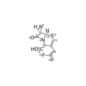 NC1C(=O)N2C(C(=O)O)C(C=C(F)F)=CS[C@H]12